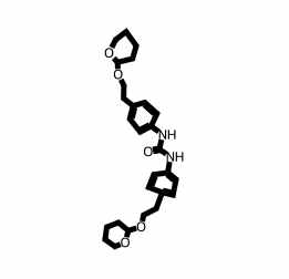 O=C(Nc1ccc(CCOC2CCCCO2)cc1)Nc1ccc(CCOC2CCCCO2)cc1